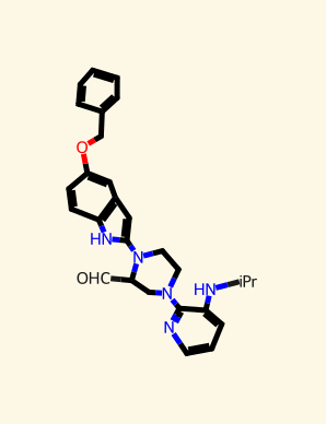 CC(C)Nc1cccnc1N1CCN(c2cc3cc(OCc4ccccc4)ccc3[nH]2)C(C=O)C1